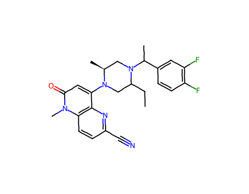 CCC1CN(c2cc(=O)n(C)c3ccc(C#N)nc23)[C@@H](C)CN1C(C)c1ccc(F)c(F)c1